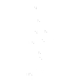 CCNC(=O)c1ccc(Nc2nc(CC)nc(N3CCN(C)CC3)n2)nn1